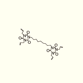 C=CCn1c(=O)n(CC=C)c(=O)n(CCCCCCCCCn2c(=O)n(CC=C)c(=O)n(CC=C)c2=O)c1=O